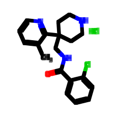 Cc1cccnc1C1(CNC(=O)c2ccccc2Cl)CCNCC1.Cl